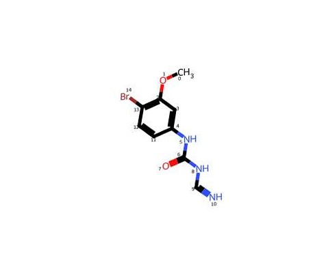 COc1cc(NC(=O)NC=N)ccc1Br